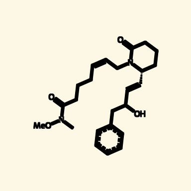 CON(C)C(=O)CCC/C=C\CN1C(=O)CCC[C@@H]1/C=C/C(O)Cc1ccccc1